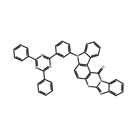 O=c1c2c(ccc3c2c2ccccc2n3-c2cccc(-c3nc(-c4ccccc4)nc(-c4ccccc4)n3)c2)sc2nc3ccccc3n12